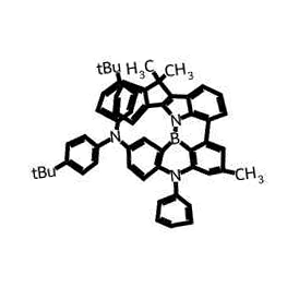 Cc1cc2c3c(c1)N(c1ccccc1)c1ccc(N(c4ccc(C(C)(C)C)cc4)c4ccc(C(C)(C)C)cc4)cc1B3n1c3c(c4cccc-2c41)C(C)(C)c1ccccc1-3